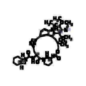 C=C/C(=C(\N=C/C)[C@H](C)OC)c1c2c3cc(ccc3n1CC)-c1csc(n1)C[C@H](NC(=O)N1C[C@H]3CCCC[C@H]31)C(=O)N1CCC[C@H](N1)C(=O)OCC(C)(C)C2